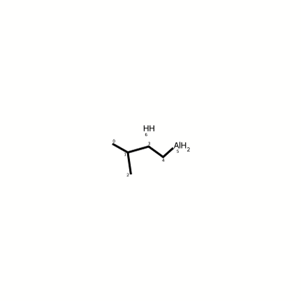 CC(C)C[CH2][AlH2].[HH]